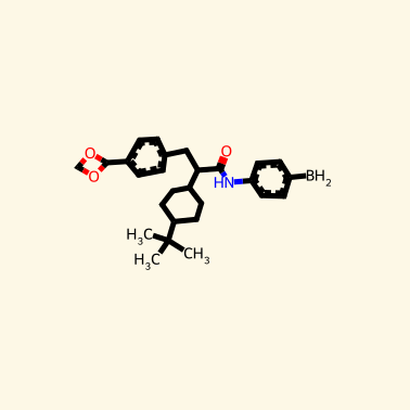 Bc1ccc(NC(=O)C(Cc2ccc(C3OCO3)cc2)C2CCC(C(C)(C)C)CC2)cc1